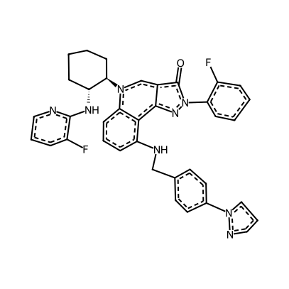 O=c1c2cn([C@@H]3CCCC[C@H]3Nc3ncccc3F)c3cccc(NCc4ccc(-n5cccn5)cc4)c3c-2nn1-c1ccccc1F